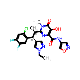 CCn1cc([C@H](c2cc(F)c(F)cc2Cl)[C@@H](C)c2nc(C(=O)Nc3cnoc3)c(O)c(=O)n2C)cn1